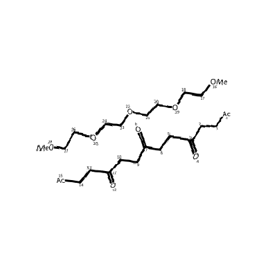 CC(=O)CCC(=O)CCC(=O)CCC(=O)CCC(C)=O.COCCOCCOCCOCCOC